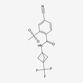 CS(=O)(=O)c1cc(C#N)ccc1C(=O)NC12CC(C(F)(F)F)(C1)C2